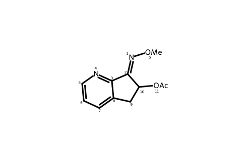 CON=C1c2ncccc2CC1OC(C)=O